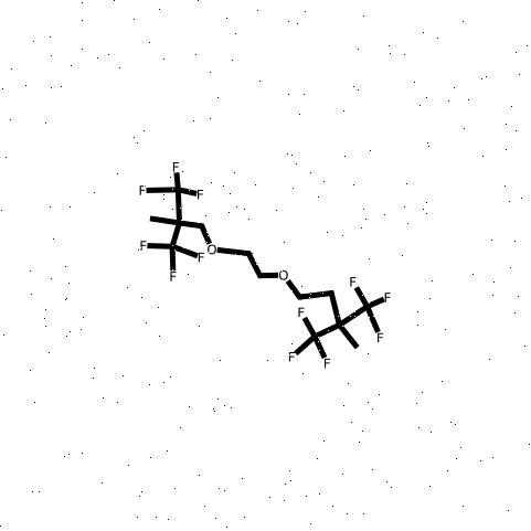 CC(CCOC[CH]OCC(C)(C(F)(F)F)C(F)(F)F)(C(F)(F)F)C(F)(F)F